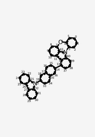 c1ccc2c(c1)Oc1cccc3c4c(-c5ccc6cc(-n7c8ccccc8c8ccccc87)ccc6c5)cccc4n-2c13